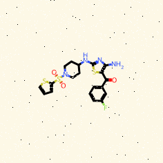 Nc1nc(NC2CCN(S(=O)(=O)c3cccs3)CC2)sc1C(=O)c1cccc(F)c1